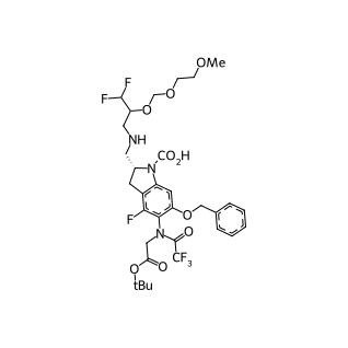 COCCOCOC(CNC[C@H]1Cc2c(cc(OCc3ccccc3)c(N(CC(=O)OC(C)(C)C)C(=O)C(F)(F)F)c2F)N1C(=O)O)C(F)F